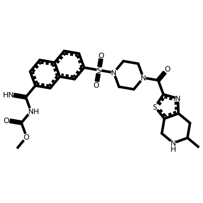 COC(=O)NC(=N)c1ccc2ccc(S(=O)(=O)N3CCN(C(=O)c4nc5c(s4)CNC(C)C5)CC3)cc2c1